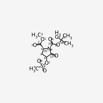 COC(=O)[C@@H]1CC(OS(C)(=O)=O)C(=O)N1C(=O)OC(C)(C)C